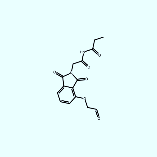 CCC(=O)NC(=O)CN1C(=O)c2cccc(OCC=O)c2C1=O